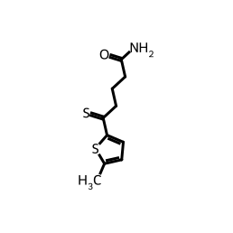 Cc1ccc(C(=S)CCCC(N)=O)s1